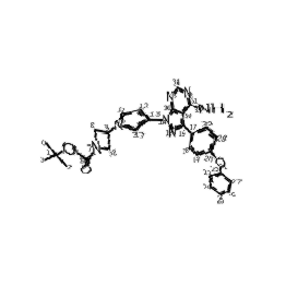 CC(C)(C)OC(=O)N1CC(n2ccc(-n3nc(-c4ccc(Oc5ccccc5)cc4)c4c(N)ncnc43)c2)C1